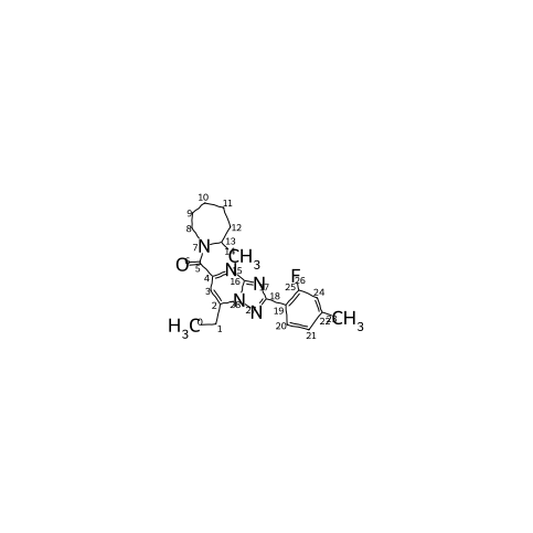 CCc1cc(C(=O)N2CCCCCC2C)nc2nc(-c3ccc(C)cc3F)nn12